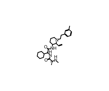 C=CC1C(NC(=O)[C@@H](NC(=O)[C@H](C)NC)C2CCCCC2)CCCN1CCc1cccc(C)c1